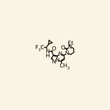 CCN1CCCN(c2cc(C)n3ncc(C(=O)NC(C4CC4)C(F)(F)F)c3n2)C1=O